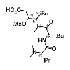 CC[C@H](C)[C@@H]([C@@H](CC(=O)O)OC)N(C)C(=O)[C@@H](NC(=O)[C@H](C(C)C)N(C)C)C(C)(C)C